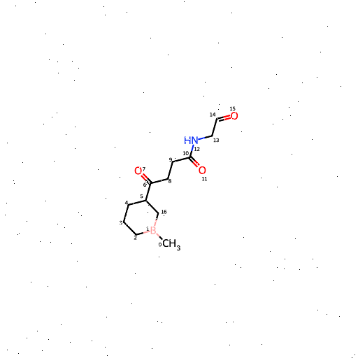 CB1CCCC(C(=O)CCC(=O)NCC=O)C1